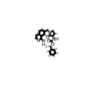 Nc1nccc2ccc(CN3CC[C@H](NC(=O)OCc4ccccc4)C3=O)cc12